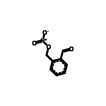 O=Cc1ccccc1CO[N+](=O)[O-]